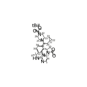 C[C@H](Nc1nccc(N2CCOC2=O)n1)c1ccc(C(CC2CC2)N2CCN(C(=O)OC(C)(C)C)CC2)cc1